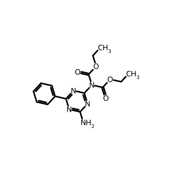 CCOC(=O)N(C(=O)OCC)c1nc(N)nc(-c2ccccc2)n1